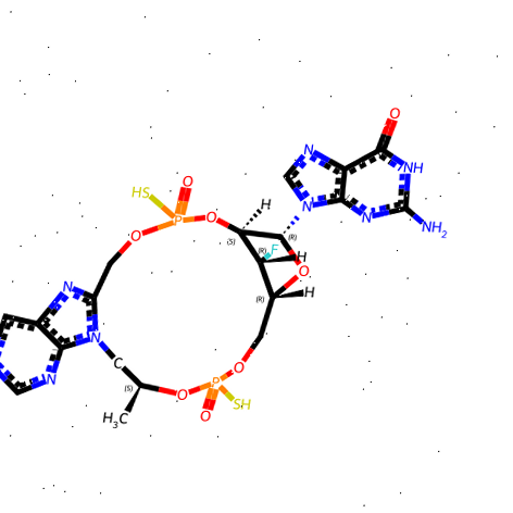 C[C@H]1Cn2c(nc3cncnc32)COP(=O)(S)O[C@@H]2[C@H](F)[C@@H](COP(=O)(S)O1)O[C@H]2n1cnc2c(=O)[nH]c(N)nc21